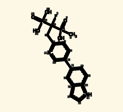 CP(=O)(O)C(F)(Cc1ccc(-c2ccc3[nH]ccc3c2)cn1)P(=O)(O)O